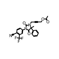 CC(=O)OCC#CCN1C(=O)N(c2ccc(C#N)c(C(F)(F)F)c2)C(=O)C1(C)c1ccccc1